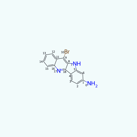 Nc1ccc2c(c1)[nH]c1c(Br)c3ccccc3nc12